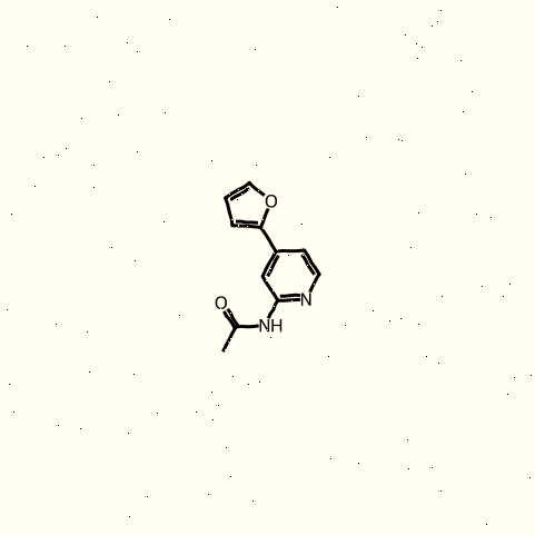 CC(=O)Nc1cc(-c2ccco2)ccn1